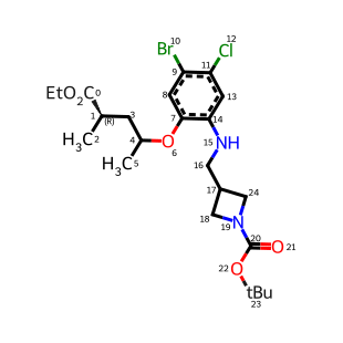 CCOC(=O)[C@H](C)CC(C)Oc1cc(Br)c(Cl)cc1NCC1CN(C(=O)OC(C)(C)C)C1